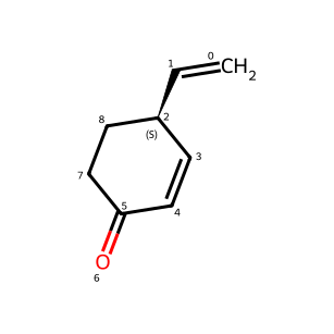 C=C[C@H]1C=CC(=O)CC1